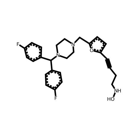 ONCCC#Cc1ccc(CN2CCN(C(c3ccc(F)cc3)c3ccc(F)cc3)CC2)o1